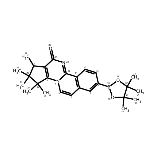 CC1c2c(n3ccc4cc(B5OC(C)(C)C(C)(C)O5)ccc4c3nc2=O)C(C)(C)C1(C)C